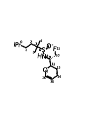 CC(C)CCC(C)(C)[S@@+]([O-])N[C@H](CF)C1CCC=CO1